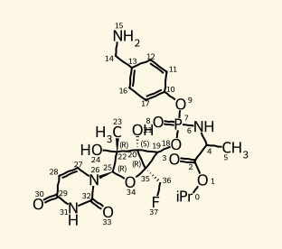 CC(C)OC(=O)C(C)NP(=O)(Oc1ccc(CN)cc1)OC1[C@]2(O)[C@@](C)(O)[C@H](n3ccc(=O)[nH]c3=O)O[C@]12CF